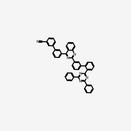 N#Cc1cccc(-c2cccc(-c3nc(-c4cccc(-c5ccccc5-c5nc(-c6ccccc6)nc(-c6ccccc6)n5)c4)nc4ccccc34)c2)c1